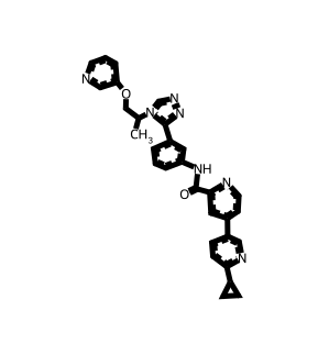 CC(COc1cccnc1)n1cnnc1-c1cccc(NC(=O)c2cc(-c3ccc(C4CC4)nc3)ccn2)c1